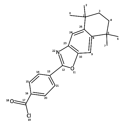 CC1(C)CCC(C)(C)c2cc3oc(-c4ccc(C(=O)Cl)cc4)nc3cc21